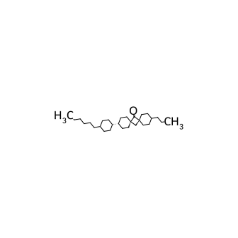 CCCCCCC1CCC([C@H]2CC[C@]3(CC2)C[C@@]2(CCC(CCC)CC2)C3=O)CC1